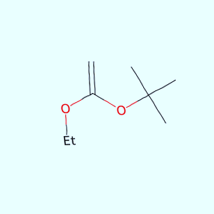 C=C(OCC)OC(C)(C)C